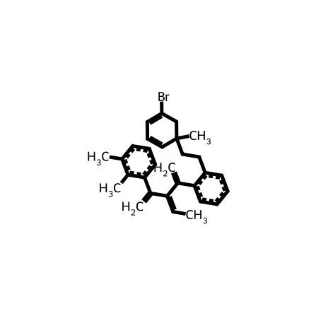 C=C(/C(=C\C)C(=C)c1cccc(C)c1C)c1ccccc1CCC1(C)C=CC=C(Br)C1